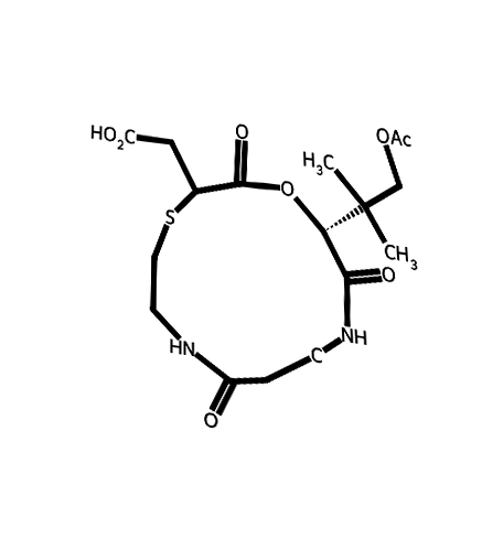 CC(=O)OCC(C)(C)[C@H]1OC(=O)C(CC(=O)O)SCCNC(=O)CCNC1=O